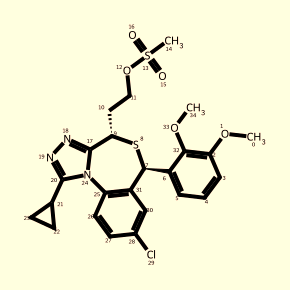 COc1cccc([C@@H]2S[C@@H](CCOS(C)(=O)=O)c3nnc(C4CC4)n3-c3ccc(Cl)cc32)c1OC